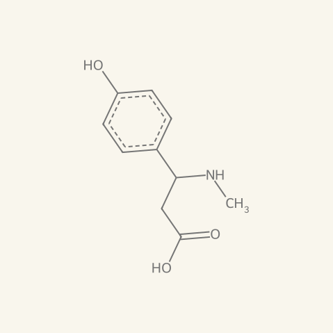 CNC(CC(=O)O)c1ccc(O)cc1